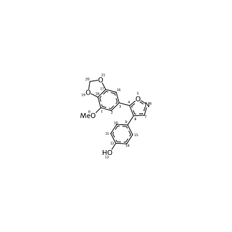 COc1cc(-c2oncc2-c2ccc(O)cc2)cc2c1OCO2